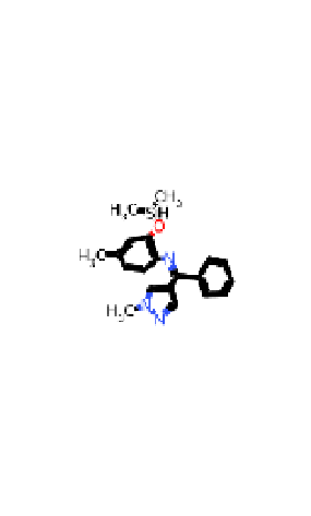 Cc1ccc(N=C(c2ccccc2)c2cnn(C)c2)c(O[SiH](C)C)c1